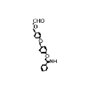 N=C(COc1ccc(COc2ccc(COCC=O)cc2)cc1)c1ccccc1